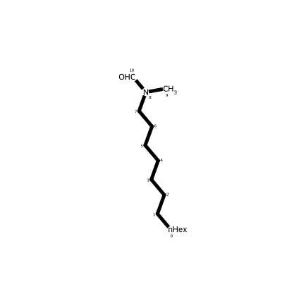 CCCCCCCCCCCCCN(C)C=O